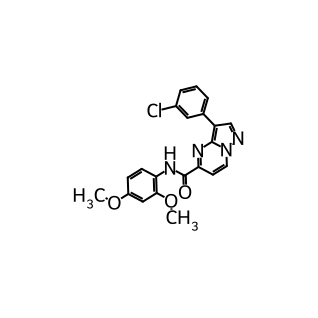 COc1ccc(NC(=O)c2ccn3ncc(-c4cccc(Cl)c4)c3n2)c(OC)c1